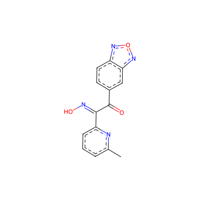 Cc1cccc(C(=NO)C(=O)c2ccc3nonc3c2)n1